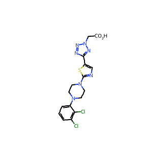 O=C(O)Cn1nnc(-c2cnc(N3CCN(c4cccc(Cl)c4Cl)CC3)s2)n1